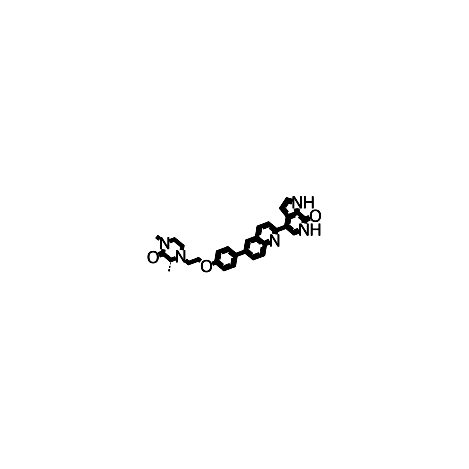 C[C@@H]1C(=O)N(C)CCN1CCOc1ccc(-c2ccc3nc(-c4c[nH]c(=O)c5[nH]ccc45)ccc3c2)cc1